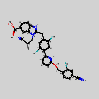 C[C@@H](C#N)Cn1c(Cc2cc(F)c(-c3cccc(OCc4ccc(C#N)cc4F)n3)cc2F)nc2ccc(C(=O)O)cc21